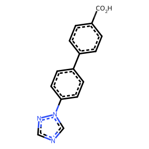 O=C(O)c1ccc(-c2ccc(-n3cncn3)cc2)cc1